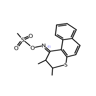 CC1Sc2ccc3ccccc3c2/C(=N/OS(C)(=O)=O)C1C